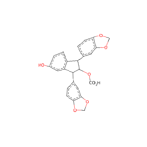 O=C(O)OC1C(c2ccc3c(c2)OCO3)c2ccc(O)cc2C1c1ccc2c(c1)OCO2